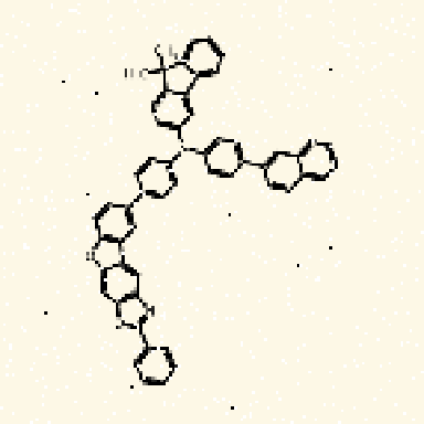 CC1(C)c2ccccc2-c2cc(N(c3ccc(-c4ccc5ccccc5c4)cc3)c3ccc(-c4ccc5oc6cc7oc(-c8ccccc8)nc7cc6c5c4)cc3)ccc21